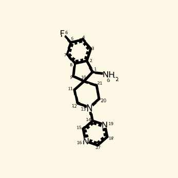 NC1c2ccc(F)cc2CC12CCN(c1cnccn1)CC2